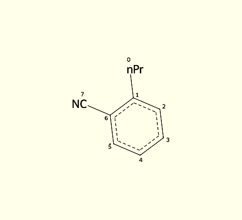 CCCc1ccc[c]c1C#N